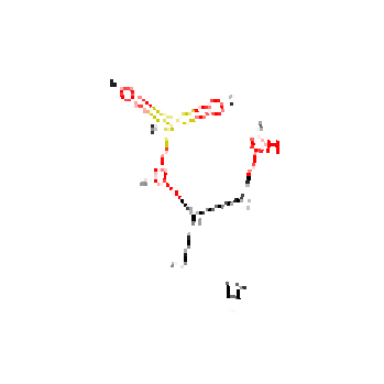 CC(CO)O[S-](=O)=O.[Li+]